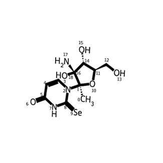 C[C@@]1(n2ccc(=O)[nH]c2=[Se])O[C@H](CO)[C@@H](O)[C@@]1(N)O